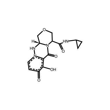 O=C(NC1CC1)C1COC[C@H]2Nn3ccc(=O)c(O)c3C(=O)N12